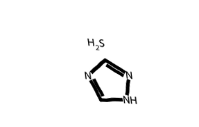 S.c1nc[nH]n1